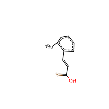 CC(C)(C)c1ccccc1C=CC(O)=S